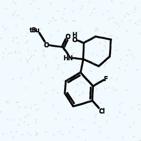 CC(C)(C)OC(=O)NC1(c2cccc(Cl)c2F)CCCCC1O